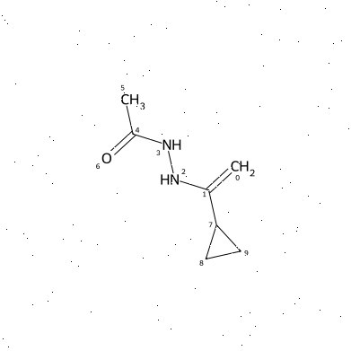 C=C(NNC(C)=O)C1CC1